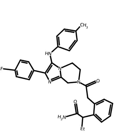 CCC(C(N)=O)c1ccccc1CC(=O)N1CCn2c(nc(-c3ccc(F)cc3)c2Nc2ccc(C)cc2)C1